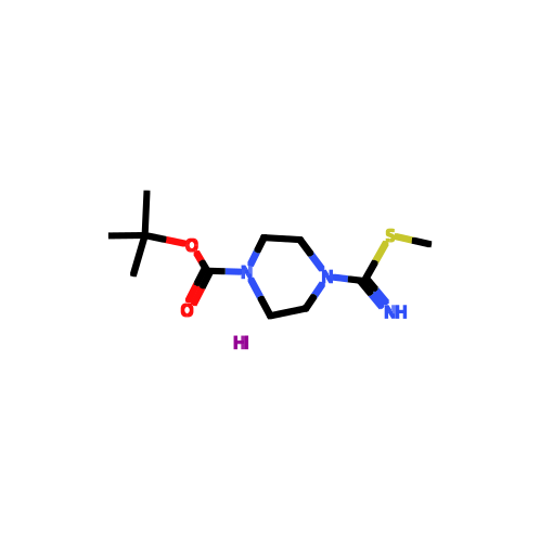 CSC(=N)N1CCN(C(=O)OC(C)(C)C)CC1.I